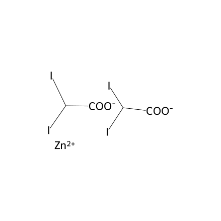 O=C([O-])C(I)I.O=C([O-])C(I)I.[Zn+2]